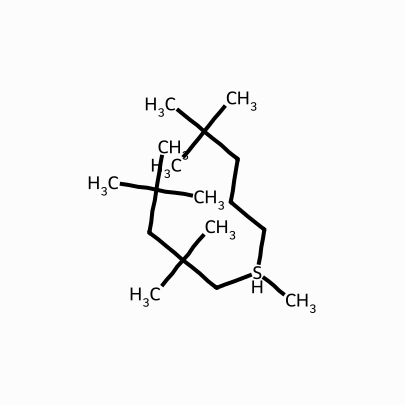 C[SH](CCCC(C)(C)C)CC(C)(C)CC(C)(C)C